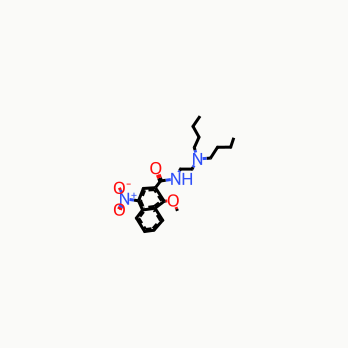 CCCCN(CCCC)CCNC(=O)c1cc([N+](=O)[O-])c2ccccc2c1OC